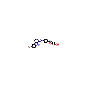 CC(C)(O)C(C)(C)OBc1ccc(CNC2CCCc3c2[nH]c2ccc(Br)cc32)cc1